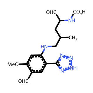 COc1cc(NCC(C)CC(C=O)NC(=O)O)c(-c2nn[nH]n2)cc1C=O